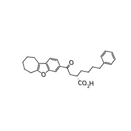 O=C(C[C@H](CCCCc1ccccc1)C(=O)O)c1ccc2c3c(oc2c1)CCCCC3